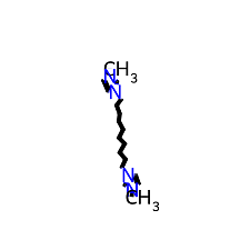 CN1C=CN(CCCCCCCCCCN2C=CN(C)C2)C1